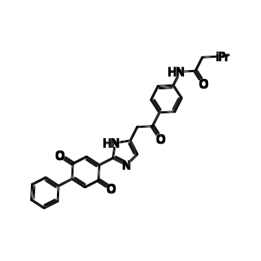 CC(C)CC(=O)Nc1ccc(C(=O)Cc2cnc(C3=CC(=O)C(c4ccccc4)=CC3=O)[nH]2)cc1